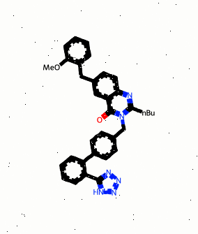 CCCCc1nc2ccc(Cc3ccccc3OC)cc2c(=O)n1Cc1ccc(-c2ccccc2-c2nnn[nH]2)cc1